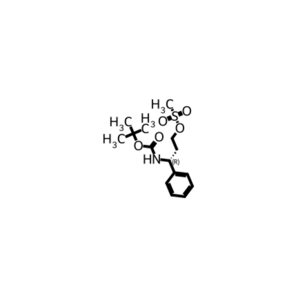 CC(C)(C)OC(=O)N[C@H](CCOS(C)(=O)=O)c1ccccc1